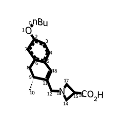 CCCCOc1ccc2c(c1)C[C@@H](C)C(CN1CC(C(=O)O)C1)=C2